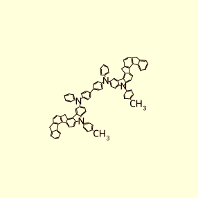 Cc1ccc(-n2c3ccc(N(c4ccccc4)c4ccc(-c5ccc(N(c6ccccc6)c6ccc7c(c6)c6c8c(ccc6n7-c6ccc(C)cc6)-c6c(ccc7c6-c6ccccc6C7)C8)cc5)cc4)cc3c3c4c(ccc32)-c2c(ccc3c2-c2ccccc2C3)C4)cc1